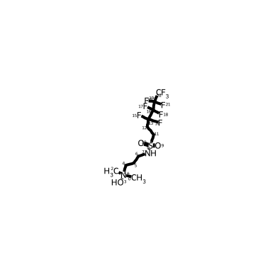 C[N+](C)(O)CCCNS(=O)(=O)CCC(F)(F)C(F)(F)C(F)(F)C(F)(F)F